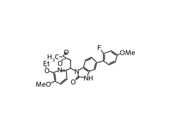 CCOc1nc(C(CS(C)(=O)=O)n2c(=O)[nH]c3cc(-c4ccc(OC)cc4F)ccc32)ccc1OC